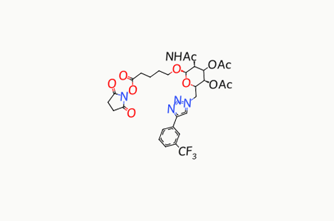 CC(=O)N[C@H]1C(OC(C)=O)[C@@H](OC(C)=O)C(Cn2cc(-c3cccc(C(F)(F)F)c3)nn2)O[C@H]1OCCCCC(=O)ON1C(=O)CCC1=O